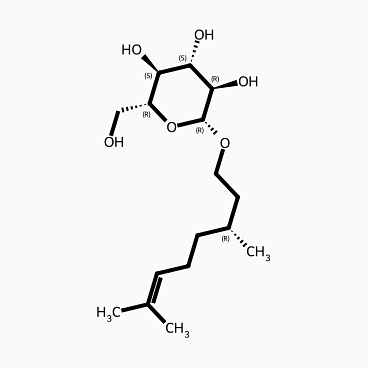 CC(C)=CCC[C@@H](C)CCO[C@@H]1O[C@H](CO)[C@@H](O)[C@H](O)[C@H]1O